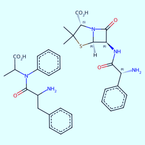 CC(C(=O)O)N(C(=O)C(N)Cc1ccccc1)c1ccccc1.CC1(C)S[C@@H]2[C@H](NC(=O)[C@H](N)c3ccccc3)C(=O)N2[C@H]1C(=O)O